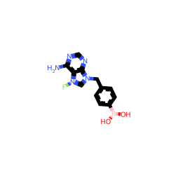 Nc1ncnc2c1[n+](F)cn2Cc1ccc(B(O)O)cc1